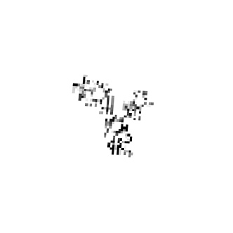 CNS(=O)(=O)c1cnc(NCc2cccc(C(F)(F)F)c2)c(-c2cn3c(n2)CCC3)n1